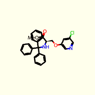 COC(=O)[C@@H](COc1cncc(Cl)c1)NC(c1ccccc1)(c1ccccc1)c1ccccc1